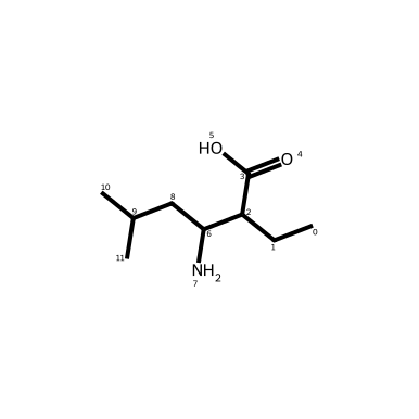 CCC(C(=O)O)C(N)CC(C)C